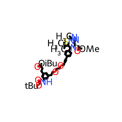 COC(=O)C[C@@H]1N=C(c2ccc(C#CCOCCOCCc3cc(CCC(=O)OCC(C)C)cc(NC(=O)OC(C)(C)C)c3)cc2)c2c(sc(C)c2C)-n2c(C)nnc21